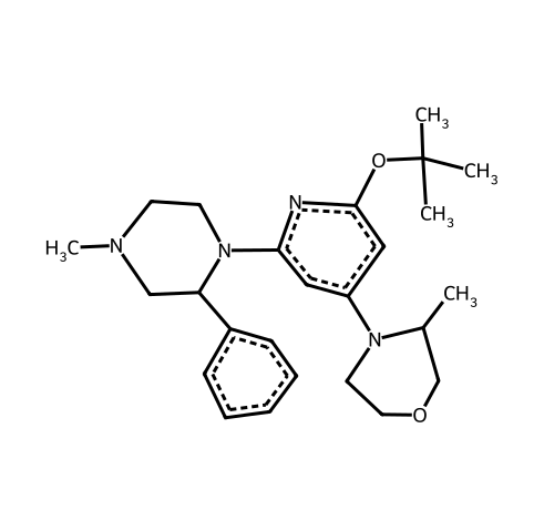 CC1COCCN1c1cc(OC(C)(C)C)nc(N2CCN(C)CC2c2ccccc2)c1